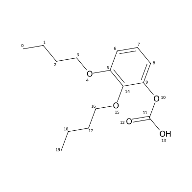 CCCCOc1cccc(OC(=O)O)c1OCCCC